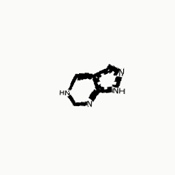 C1=c2cn[nH]c2=NCN1